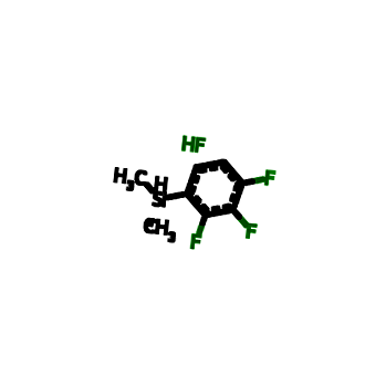 C[SiH](C)c1ccc(F)c(F)c1F.F